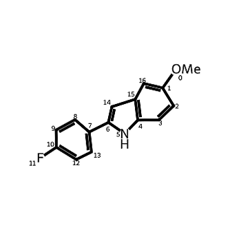 COc1ccc2[nH]c(-c3ccc(F)cc3)cc2c1